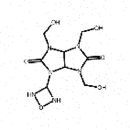 O=C1N(CO)C2C(N1CO)N(C1NON1)C(=O)N2CO